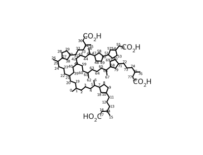 CC(CCCC(C)C1CCC(CCCC(C)CC(=O)O)C1)CCC(CCCC(C)C1CCC(CCCC(C)CC(=O)O)C1)CCC(CCCC(C)C1CCC(C2CCC(CC(=O)O)C2)C1)CCC(C)CCCC(C)C1CCC(CCCC(C)CC(=O)O)C1